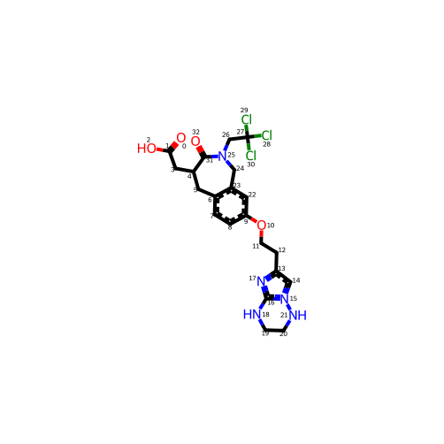 O=C(O)CC1Cc2ccc(OCCc3cn4c(n3)NCCN4)cc2CN(CC(Cl)(Cl)Cl)C1=O